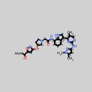 CNC(=O)c1cc(O[C@H]2CCN(CC(=O)Nc3cccc4c(-c5nc(Nc6cc(C)n(C)n6)ncc5C)c[nH]c34)C2)no1